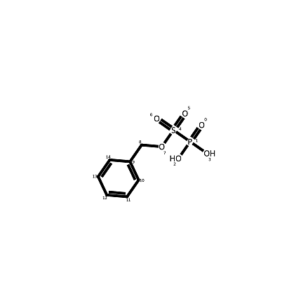 O=P(O)(O)S(=O)(=O)OCc1ccccc1